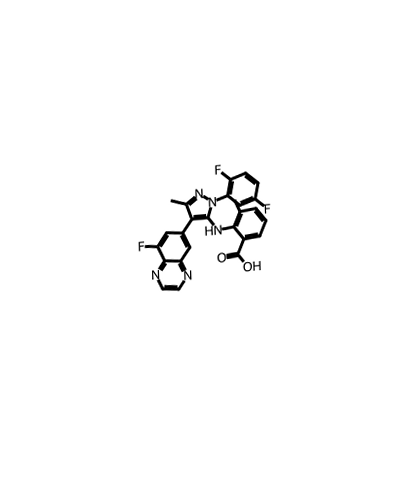 Cc1cccc(C(=O)O)c1Nc1c(-c2cc(F)c3nccnc3c2)c(C)nn1-c1cc(F)ccc1F